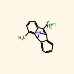 CC1=C2NC(c3ccccc32)c2c(C)cccc21.Cl